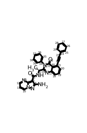 C[C@@H](NC(=O)c1c(N)nn2cccnc12)c1nc2cccc(C#Cc3ccccc3)c2c(=O)n1-c1ccccc1